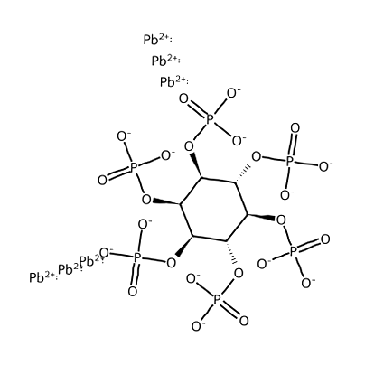 O=P([O-])([O-])O[C@H]1[C@H](OP(=O)([O-])[O-])[C@@H](OP(=O)([O-])[O-])[C@H](OP(=O)([O-])[O-])[C@@H](OP(=O)([O-])[O-])[C@H]1OP(=O)([O-])[O-].[Pb+2].[Pb+2].[Pb+2].[Pb+2].[Pb+2].[Pb+2]